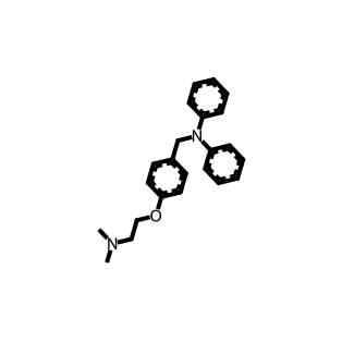 CN(C)CCOc1ccc(CN(c2ccccc2)c2ccccc2)cc1